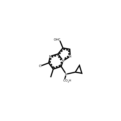 Cc1c(Cl)nc2c(C=O)cnn2c1N(C(=O)O)C1CC1